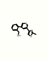 Cc1nc(-c2cncc(-c3ccccc3CO)c2)cs1